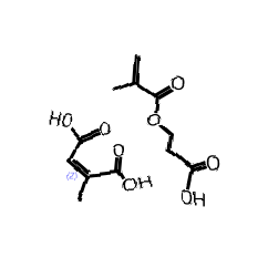 C/C(=C/C(=O)O)C(=O)O.C=C(C)C(=O)OCCC(=O)O